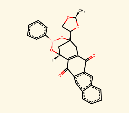 C[C@@H]1OC[C@H](C23CC4=C(C(=O)c5cc6ccccc6cc5C4=O)[C@@H](C2)OB(c2ccccc2)O3)O1